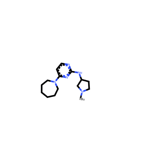 CCCCN1CCC(Nc2nccc(N3CCCCCC3)n2)C1